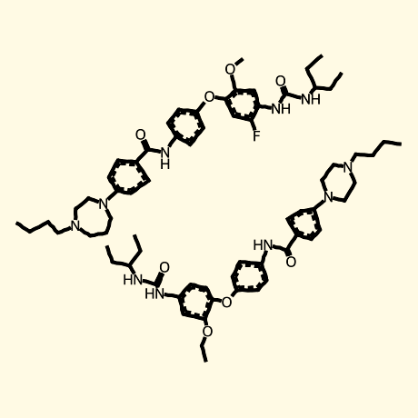 CCCCN1CCCN(c2ccc(C(=O)Nc3ccc(Oc4cc(F)c(NC(=O)NC(CC)CC)cc4OC)cc3)cc2)CC1.CCCCN1CCN(c2ccc(C(=O)Nc3ccc(Oc4ccc(NC(=O)NC(CC)CC)cc4OCC)cc3)cc2)CC1